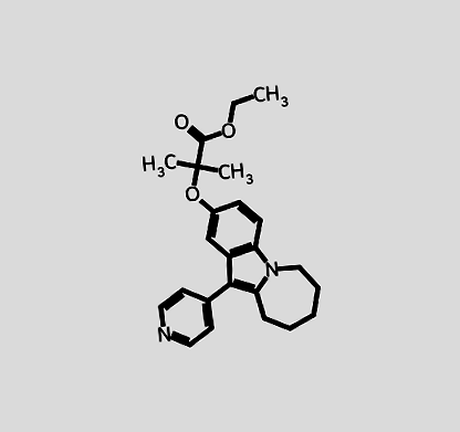 CCOC(=O)C(C)(C)Oc1ccc2c(c1)c(-c1ccncc1)c1n2CCCCC1